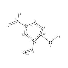 C=C(C)c1ccc(OC)c(C=O)c1